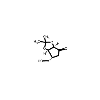 CC1(C)O[C@@H]2[C@@H](CO)CC(=O)[C@@H]2O1